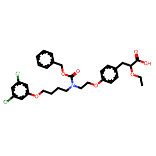 CCOC(Cc1ccc(OCCN(CCCCOc2cc(Cl)cc(Cl)c2)C(=O)OCc2ccccc2)cc1)C(=O)O